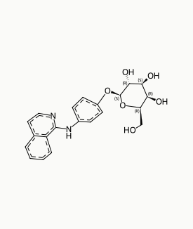 OC[C@H]1O[C@@H](Oc2ccc(Nc3nccc4ccccc34)cc2)[C@H](O)[C@@H](O)[C@H]1O